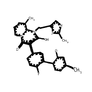 Cc1ccc(-c2cc(-c3c(O)[n+](Cc4cnc(C)s4)c4c(C)cccn4c3=O)ccc2F)c(Cl)c1